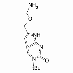 CC(C)(C)n1cc2cc(COCN)[nH]c2nc1=O